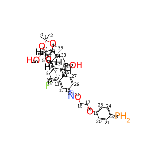 CC1(C)O[C@@H]2C[C@H]3[C@@H]4C[C@H](F)C5=C/C(=N/OCCOc6ccc(P)cc6)C=C[C@]5(C)[C@H]4[C@@H](O)C[C@]3(C)[C@]2(C(=O)CO)O1